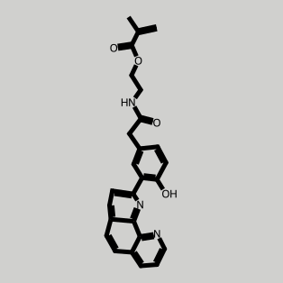 C=C(C)C(=O)OCCNC(=O)Cc1ccc(O)c(-c2ccc3ccc4cccnc4c3n2)c1